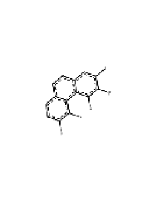 Fc1ccc2ccc3cc(I)c(F)c(F)c3c2c1F